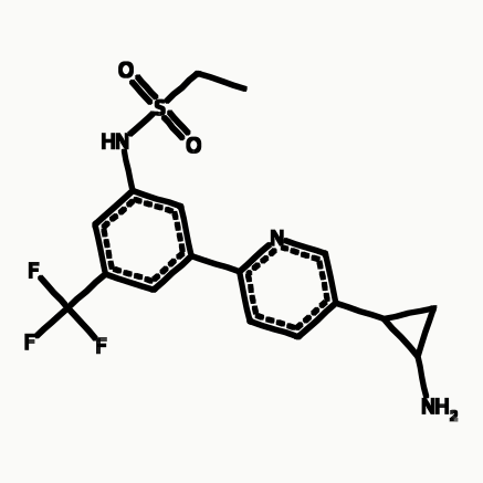 CCS(=O)(=O)Nc1cc(-c2ccc(C3CC3N)cn2)cc(C(F)(F)F)c1